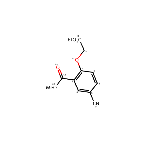 CCOC(=O)COc1ccc(C#N)cc1C(=O)OC